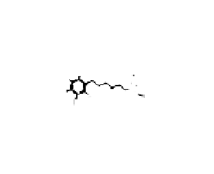 CC(C)O[Si](O)(CCCCCCc1c(F)c(F)c(F)c(F)c1F)OC(C)C